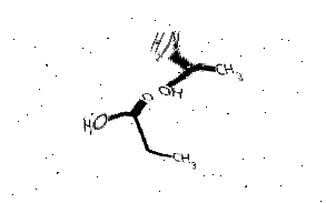 CC(N)O.CCC(=O)O